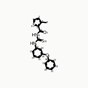 Cc1ccsc1C(=O)NC(=S)Nc1cccc(Oc2ccccc2)c1